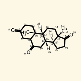 C[C@]12CCC(=O)CC1C(=O)C[C@@H]1[C@H]2CC[C@]2(C)C(=O)CC[C@@H]12